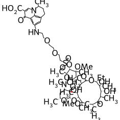 CC[C@H]1OC(=O)[C@H](C)[C@@H](O[C@H]2C[C@@](C)(OC)[C@@H](OS(=O)(=O)CCOCCOCCNc3cc4c5c(c3)c(=O)c(C(=O)O)cn5C(C)CC4)[C@H](C)O2)[C@H](C)[C@@H](O[C@@H]2O[C@H](C)C[C@H](N(C)C)[C@H]2O)[C@](C)(OC)C[C@@H](C)C(=O)[C@H](C)[C@@H](O)[C@]1(C)O